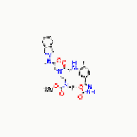 Cc1ccc(-c2n[nH]c(=O)o2)cc1NCC(=O)N(CCN(C(=O)OC(C)(C)C)C(C)C)CC(=O)N(C)N1Cc2ccccc2C1